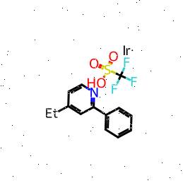 CCc1ccnc(-c2ccccc2)c1.O=S(=O)(O)C(F)(F)F.[Ir]